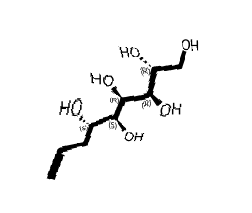 C=CC[C@H](O)[C@H](O)[C@@H](O)[C@H](O)[C@H](O)CO